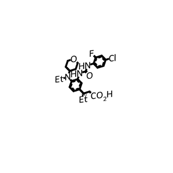 CC[C@H](CC(=O)O)c1ccc(N(CC)C2CCOCC2)c(NC(=O)Nc2ccc(Cl)cc2F)c1